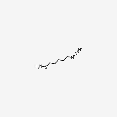 [N-]=[N+]=NCCCCCSN